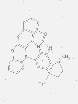 CC12CCC(C)(CC1)c1c2cc2c3c1nc1oc4cccc5cc6c(c(c54)n13)B2c1ccccc1O6